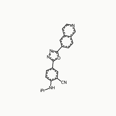 CC(C)Nc1ccc(-c2nnc(-c3ccc4cnccc4c3)o2)cc1C#N